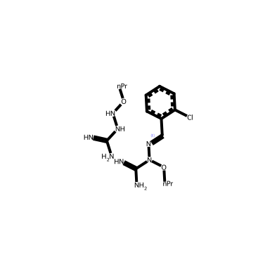 CCCON(/N=C/c1ccccc1Cl)C(=N)N.CCCONNC(=N)N